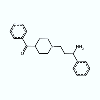 NC(CCN1CCC(C(=O)c2ccccc2)CC1)c1ccccc1